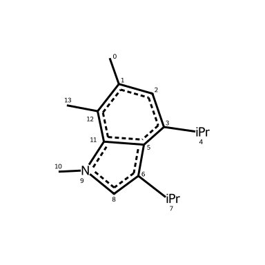 Cc1cc(C(C)C)c2c(C(C)C)cn(C)c2c1C